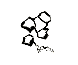 O=S(=O)(O)O.Oc1ccccc1.c1ccc2c(c1)c1ccccc1c1ccccc21